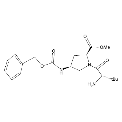 COC(=O)[C@@H]1C[C@H](NC(=O)OCc2ccccc2)CN1C(=O)[C@@H](N)C(C)(C)C